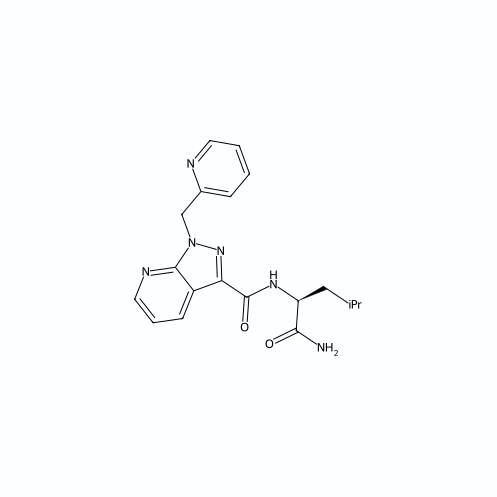 CC(C)C[C@H](NC(=O)c1nn(Cc2ccccn2)c2ncccc12)C(N)=O